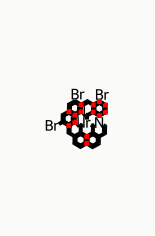 Brc1ccc(N2C=Cc3ccccc3[CH]2[Ir]([CH]2c3ccccc3C=CN2c2ccc(Br)cc2)[CH]2c3ccccc3C=CN2c2ccc(Br)cc2)cc1